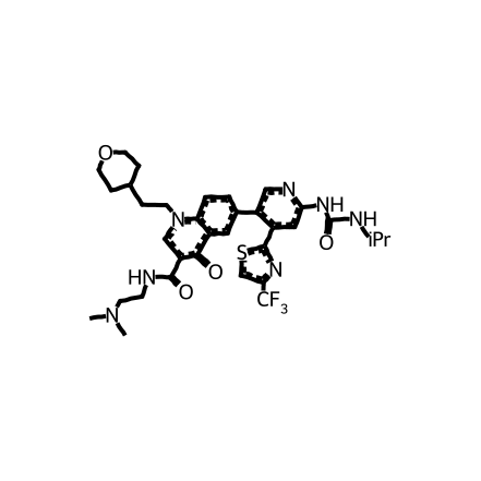 CC(C)NC(=O)Nc1cc(-c2nc(C(F)(F)F)cs2)c(-c2ccc3c(c2)c(=O)c(C(=O)NCCN(C)C)cn3CCC2CCOCC2)cn1